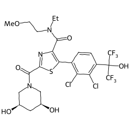 CCN(CCOC)C(=O)c1nc(C(=O)N2C[C@H](O)C[C@H](O)C2)sc1-c1ccc(C(O)(C(F)(F)F)C(F)(F)F)c(Cl)c1Cl